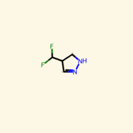 FC(F)C1[C]=NN[CH]1